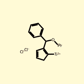 CC(C)OC(C1=[C]([Ti+2])CC=C1)c1ccccc1.[Cl-].[Cl-]